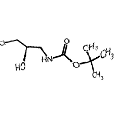 CC(C)(C)OC(=O)NC[C@@H](O)CCl